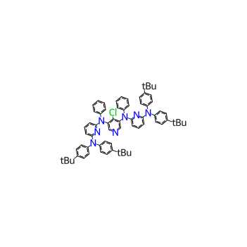 CC(C)(C)c1ccc(N(c2ccc(C(C)(C)C)cc2)c2cccc(N(c3ccccc3)c3cncc(N(c4ccccc4)c4cccc(N(c5ccc(C(C)(C)C)cc5)c5ccc(C(C)(C)C)cc5)n4)c3Cl)n2)cc1